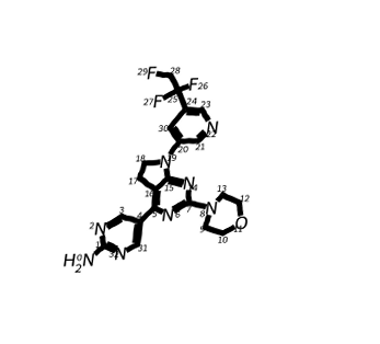 Nc1ncc(-c2nc(N3CCOCC3)nc3c2CCN3c2cncc(C(F)(F)CF)c2)cn1